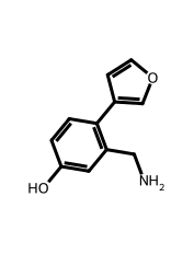 NCc1cc(O)ccc1-c1ccoc1